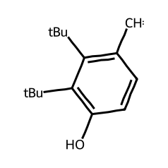 [CH]c1ccc(O)c(C(C)(C)C)c1C(C)(C)C